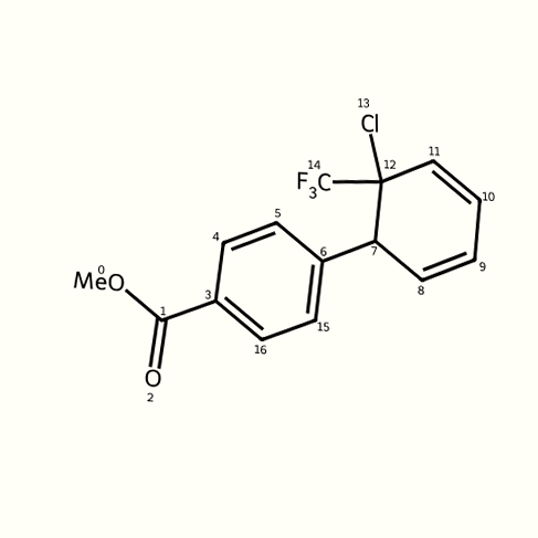 COC(=O)c1ccc(C2C=CC=CC2(Cl)C(F)(F)F)cc1